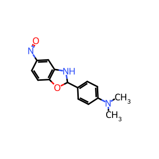 CN(C)c1ccc(C2Nc3cc(N=O)ccc3O2)cc1